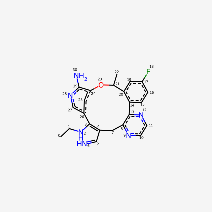 CCN/C1=C(\C=N)Cc2nccnc2-c2ccc(F)cc2C(C)Oc2cc1cnc2N